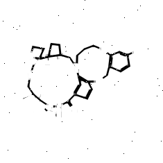 C[C@@H]1[C@@H](C)CCC[C@@]2(CCO2)[C@@H]2CC[C@H]2CN2CCCCc3cc(Cl)ccc3COc3ccc(cc32)C(=O)NS1(=O)=O